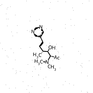 CC(=O)[C@H]([C@H](O)[C@H](C)/C=C/c1cncnc1)N(C)C